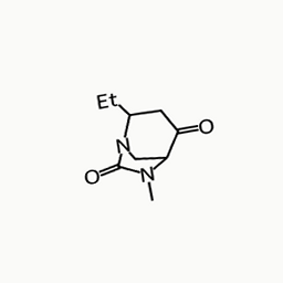 CCC1CC(=O)C2CN1C(=O)N2C